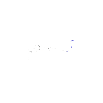 CC/C=C\C/C=C\C/C=C\CCCCCCCC(=O)OC1CCC2(C)C(=CCC3C2CCC2(C)C(C(C)CCC(C)C(C)C)CCC32)C1